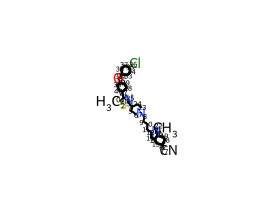 Cc1sc(C2CCN(CCCCc3cc4cc(C#N)ccc4n3C)CC2)nc1-c1ccc(Oc2ccc(Cl)cc2)cc1